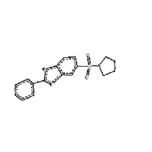 O=S(=O)(c1ccc2[nH]c(-c3ccccc3)nc2c1)N1CCCC1